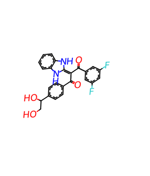 O=C(C(C(=O)c1cc(F)cc(F)c1)=C1Nc2ccccc2N1)c1ccc(C(O)CO)cc1